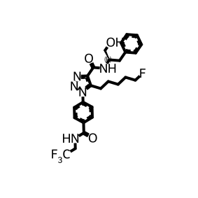 O=C(NCC(F)(F)F)c1ccc(-n2nnc(C(=O)N[C@@H](CO)Cc3ccccc3)c2CCCCCF)cc1